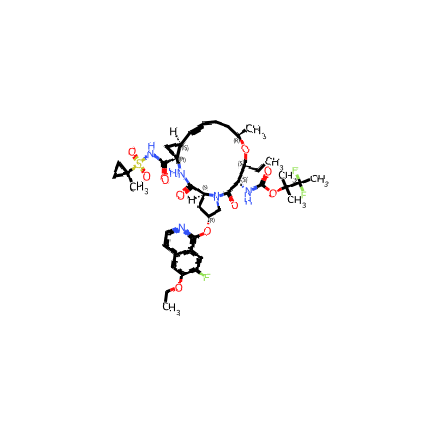 CCOc1cc2ccnc(O[C@@H]3C[C@H]4C(=O)N[C@]5(C(=O)NS(=O)(=O)C6(C)CC6)C[C@H]5C=CCC[C@@H](C)O[C@@H](CC)[C@H](NC(=O)OC(C)(C)C(C)(F)F)C(=O)N4C3)c2cc1F